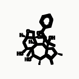 CC(=O)O[C@@]12CO[C@@H]1C[C@H](O)[C@]1(C)[C@@H]2[C@H](OC(=O)c2ccccc2)[C@]2(C(C)(C)O)C[C@H](C)C(C)=C2[C@H](C)[C@@H]1O